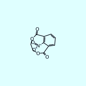 O=C1OCCOC(=O)c2cccc1c2[N+](=O)[O-]